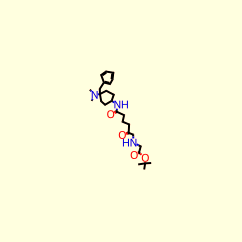 CN(C)C1(Cc2ccccc2)CCC(NC(=O)CCCC(=O)CNCC(=O)OC(C)(C)C)CC1